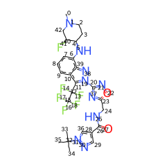 CN1CC[C@@H](Nc2cccc3c(C(F)(F)C(F)(F)F)n(-c4noc(CNC(=O)c5cnn(C(C)(C)C)c5)n4)nc23)[C@@H](F)C1